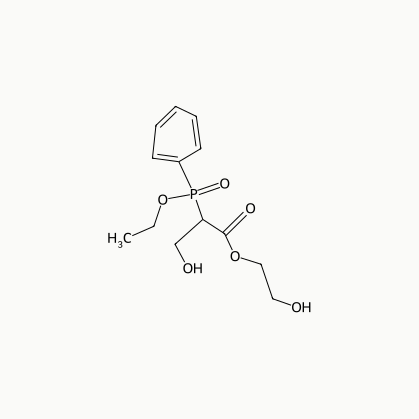 CCOP(=O)(c1ccccc1)C(CO)C(=O)OCCO